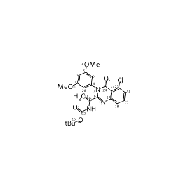 COc1cc(OC)cc(-n2c([C@H](C)NC(=O)OC(C)(C)C)nc3cccc(Cl)c3c2=O)c1